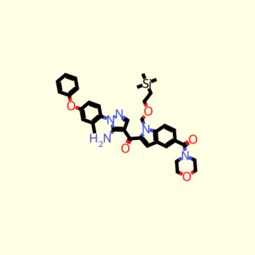 Cc1cc(Oc2ccccc2)ccc1-n1ncc(C(=O)c2cc3cc(C(=O)N4CCOCC4)ccc3n2COCC[Si](C)(C)C)c1N